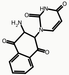 NC1C(=O)c2ccccc2C(=O)C1n1ccc(=O)[nH]c1=O